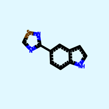 c1cc2cc(-c3ncsn3)ccc2[nH]1